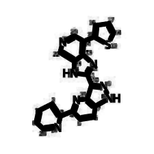 c1ccc(-c2ccc3[nH]nc(-c4nc5c(-c6cccs6)cncc5[nH]4)c3n2)nc1